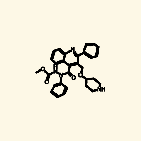 COC(=O)NN(C(=O)c1c(COC2CCNCC2)c(-c2ccccc2)nc2ccccc12)c1ccccc1